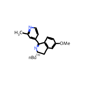 CCCC[C@H]1Cc2cc(OC)ccc2C(c2ccnc(C)c2)=N1